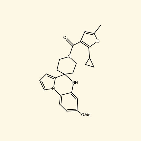 COc1ccc2c(c1)NC1(CCN(C(=O)c3cc(C)oc3C3CC3)CC1)c1cccn1-2